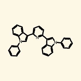 c1ccc(-n2cc(-c3cccc(-c4cn(-c5ccccc5)c5ccccc45)n3)c3ccccc32)cc1